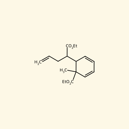 C=CCC(C(=O)OCC)C1C=CC=CC1(C)C(=O)OCC